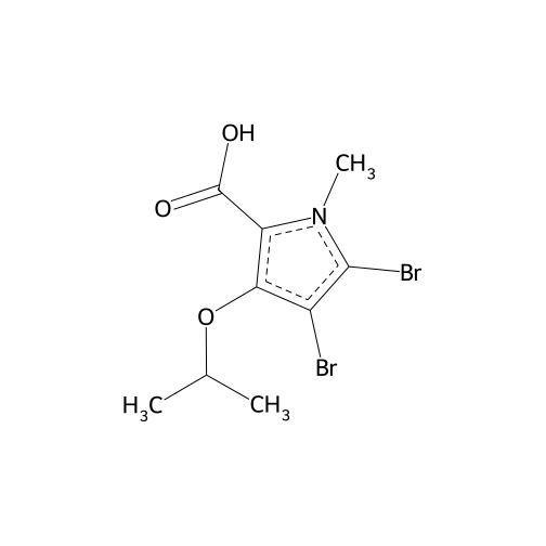 CC(C)Oc1c(Br)c(Br)n(C)c1C(=O)O